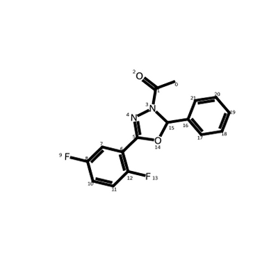 CC(=O)N1N=C(c2cc(F)ccc2F)OC1c1ccccc1